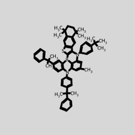 Cc1cc2c3c(c1)N(c1ccc(C(C)(C)C)cc1)c1c(sc4cc5c(cc14)C(C)(C)CCC5(C)C)B3c1cc(C(C)(C)c3ccccc3)ccc1N2c1ccc(C(C)(C)c2ccccc2)cc1